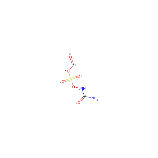 NC(=O)NOS(=O)(=O)OC=O